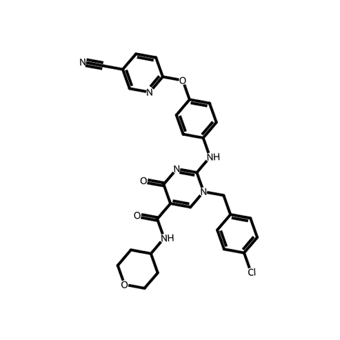 N#Cc1ccc(Oc2ccc(Nc3nc(=O)c(C(=O)NC4CCOCC4)cn3Cc3ccc(Cl)cc3)cc2)nc1